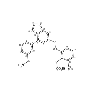 CCOC(=O)Cc1c(OCc2cc(-c3cccc(CN)c3)c3occc3c2)cccc1C(F)(F)F